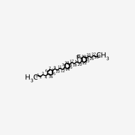 C/C=C/CCc1ccc(CCCCc2ccc(CCCCc3ccc(CC/C=C/C)cc3F)cc2)cc1